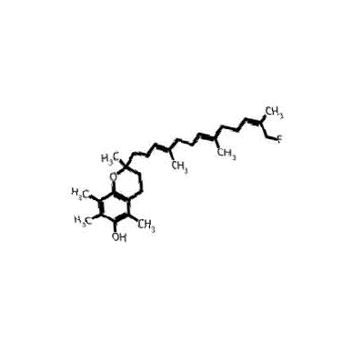 CC(=CCC/C(C)=C/CC/C(C)=C/CCC1(C)CCc2c(C)c(O)c(C)c(C)c2O1)CF